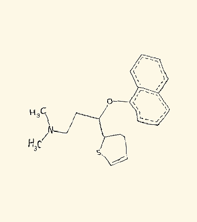 CN(C)CCC(Oc1cccc2ccccc12)C1CC=CS1